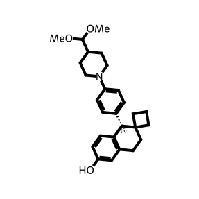 COC(OC)C1CCN(c2ccc([C@H]3c4ccc(O)cc4CCC34CCC4)cc2)CC1